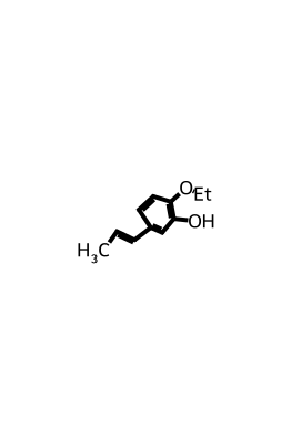 CC=Cc1ccc(OCC)c(O)c1